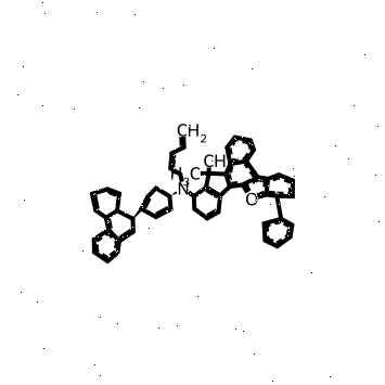 C=C/C=C\CN(C1CC=CC2=C1C(C)(C)c1c2c2oc3c(-c4ccccc4)cccc3c2c2ccccc12)[C@@H]1C=CC([C@H]2C=c3ccccc3=C3C=CC=CC32)=CC1